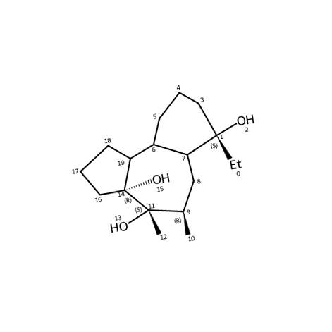 CC[C@]1(O)CCCC2C1C[C@@H](C)[C@](C)(O)[C@@]1(O)CCCC21